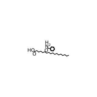 CCCCCCCCCCCCCCCCCC(=O)O.NC(=O)c1ccccc1